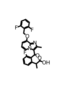 Cc1nc2c(OCc3c(F)cccc3F)cccn2c1C(=O)c1c(F)cccc1C(C)C(=O)O